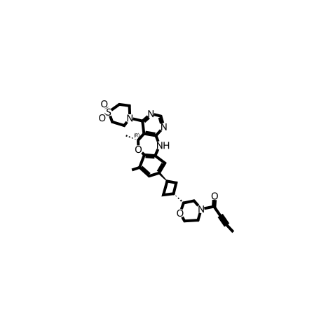 CC#CC(=O)N1CCOC([C@H]2C[C@H](c3cc(C)c4c(c3)Nc3ncnc(N5CCS(=O)(=O)CC5)c3[C@@H](C)O4)C2)C1